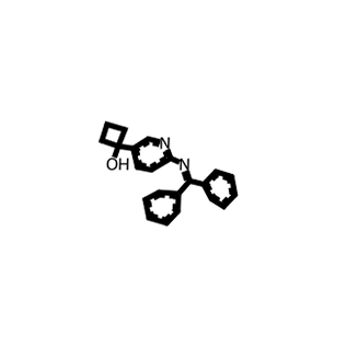 OC1(c2ccc(N=C(c3ccccc3)c3ccccc3)nc2)CCC1